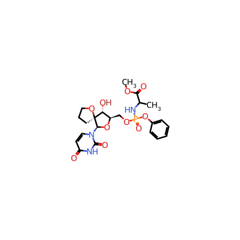 COC(=O)C(C)NP(=O)(OC[C@H]1O[C@@H](n2ccc(=O)[nH]c2=O)[C@]2(CCCO2)[C@@H]1O)Oc1ccccc1